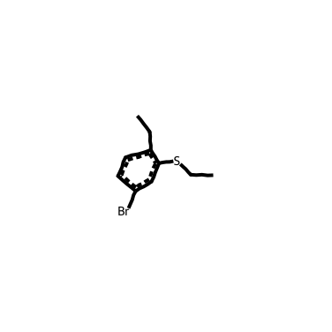 CCSc1cc(Br)ccc1CC